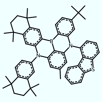 Cc1cc2c3c(c1)N(c1cccc4sc5ccccc5c14)c1cc(C(C)(C)C)ccc1B3c1cc3c(cc1N2c1ccc2c(c1)C(C)(C)CCC2(C)C)C(C)(C)CCC3(C)C